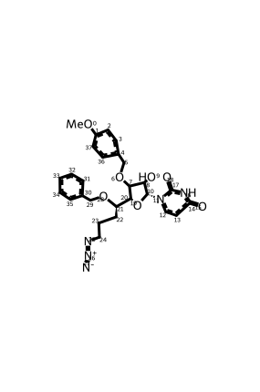 COc1ccc(COC2C(O)[C@H](n3ccc(=O)[nH]c3=O)O[C@@H]2[C@@H](CCCN=[N+]=[N-])OCc2ccccc2)cc1